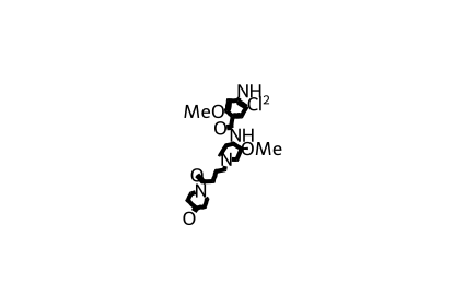 COc1cc(N)c(Cl)cc1C(=O)N[C@@H]1CCN(CCCC(=O)N2CCC(=O)CC2)C[C@@H]1OC